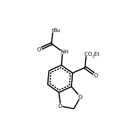 CCOC(=O)C(=O)c1c(NC(=O)C(C)(C)C)ccc2c1OCO2